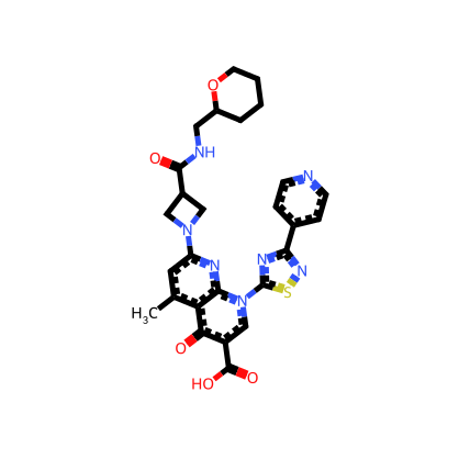 Cc1cc(N2CC(C(=O)NCC3CCCCO3)C2)nc2c1c(=O)c(C(=O)O)cn2-c1nc(-c2ccncc2)ns1